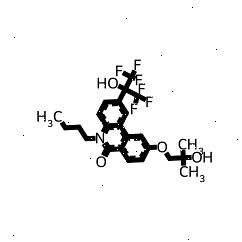 CCCCn1c(=O)c2ccc(OCC(C)(C)O)cc2c2cc(C(O)(C(F)(F)F)C(F)(F)F)ccc21